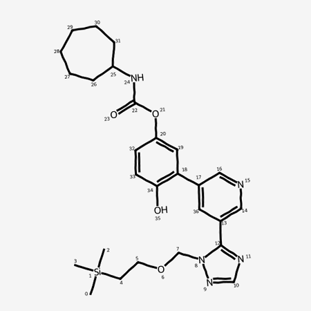 C[Si](C)(C)CCOCn1ncnc1-c1cncc(-c2cc(OC(=O)NC3CCCCCC3)ccc2O)c1